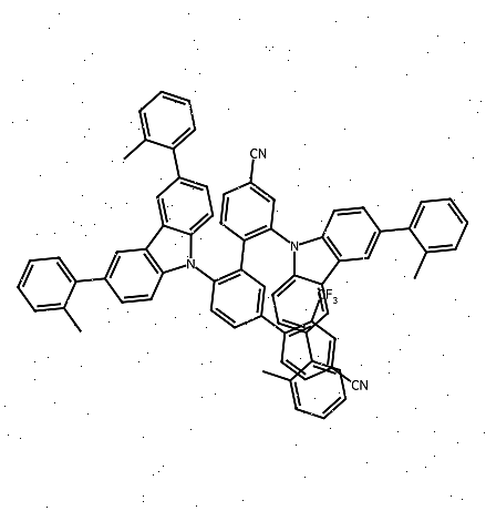 Cc1ccccc1-c1ccc2c(c1)c1cc(-c3ccccc3C)ccc1n2-c1ccc(-c2ccc(C#N)cc2C(F)(F)F)cc1-c1ccc(C#N)cc1-n1c2ccc(-c3ccccc3C)cc2c2cc(-c3ccccc3C)ccc21